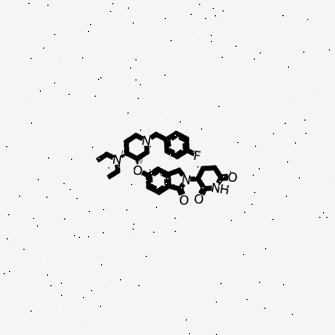 CCN(CC)[C@H]1CCN(Cc2ccc(F)cc2)C[C@@H]1Oc1ccc2c(c1)CN(C1CCC(=O)NC1=O)C2=O